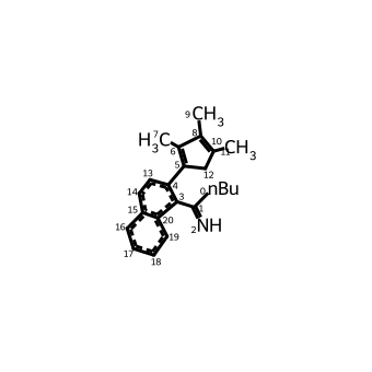 CCCCC(=N)c1c(C2=C(C)C(C)=C(C)C2)ccc2ccccc12